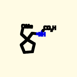 COCC1(CNC(=O)O)CCCC1